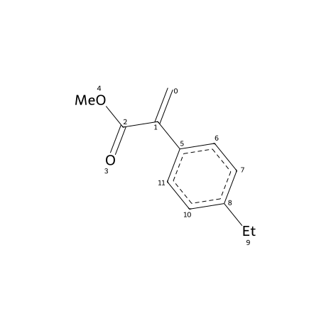 C=C(C(=O)OC)c1ccc(CC)cc1